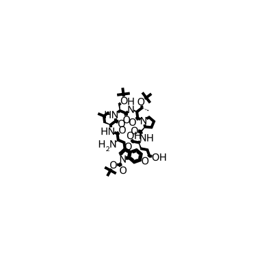 CC(C)C[C@H](NC(=O)[C@@H](N)Cc1cn(C(=O)OC(C)(C)C)c2ccccc12)C(=O)N[C@@H](COC(C)(C)C)C(=O)N[C@H](C(=O)N1CCC[C@H]1C(=O)N[C@@H](CCC(=O)O)C(=O)O)[C@@H](C)OC(C)(C)C